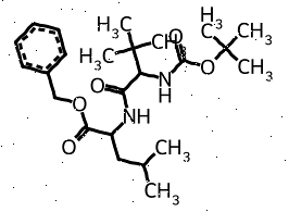 CC(C)CC(NC(=O)C(NC(=O)OC(C)(C)C)C(C)(C)C)C(=O)OCc1ccccc1